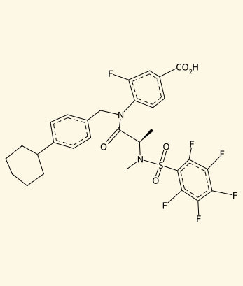 C[C@H](C(=O)N(Cc1ccc(C2CCCCC2)cc1)c1ccc(C(=O)O)cc1F)N(C)S(=O)(=O)c1c(F)c(F)c(F)c(F)c1F